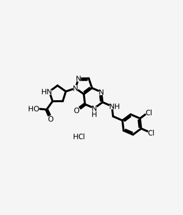 Cl.O=C(O)C1CC(n2ncc3nc(NCc4ccc(Cl)c(Cl)c4)[nH]c(=O)c32)CN1